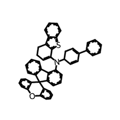 C1=CC(N(C2=CCCc3c2sc2ccccc32)c2cccc3c2-c2ccccc2C32c3ccccc3Oc3ccccc32)CC=C1c1ccccc1